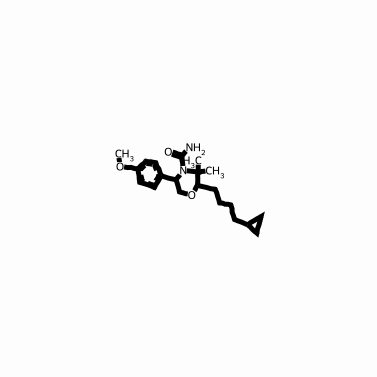 COc1ccc(C2COC(CCCCC3CC3)C(C)(C)N2C(N)=O)cc1